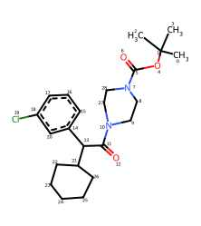 CC(C)(C)OC(=O)N1CCN(C(=O)C(c2cccc(Cl)c2)C2CCCCC2)CC1